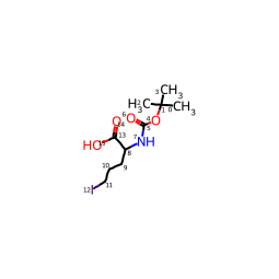 CC(C)(C)OC(=O)NC(CCCI)C(=O)O